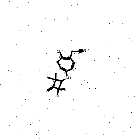 C=C1C(C)(C)C(NC2=CCC(Cl)=C(CC#N)C=C2)C1(C)C